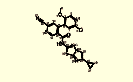 COc1cnc(Cl)cc1-c1cc(C#N)ncc1C(=O)Nc1nn2cc(C3CC3)nc2s1